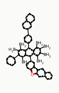 Bc1c(B)c(B)c2c(-c3ccc4oc5cc6ccccc6cc5c4c3)c3c(B)c(-c4ccccc4)c(B)c(B)c3c(-c3ccc(-c4ccc5ccccc5c4)cc3)c2c1B